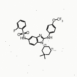 C[C@H]1C[C@@H](n2c(Nc3ccc(OC(F)(F)F)cc3)nc3cc(NS(=O)(=O)c4ccccc4F)ccc32)CC(C)(C)C1